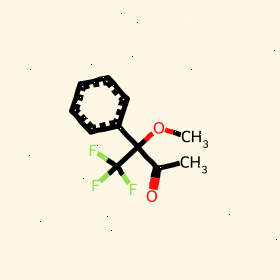 COC(C(C)=O)(c1ccccc1)C(F)(F)F